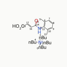 CCCC[N+](CCCC)(CCCC)CCCC.Cc1cccc(C)c1NC(=O)C=CC(=O)O